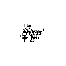 COC(CN(C(=O)Cc1ccc(F)c(C(F)(F)F)c1)[C@H](C)c1nc2ncccc2c(=O)n1-c1ccc(C#N)cc1)OC